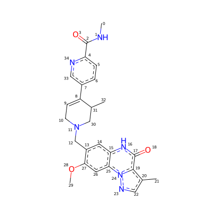 CNC(=O)c1ccc(C2=CCN(Cc3cc4[nH]c(=O)c5c(C)cnn5c4cc3OC)CC2C)cn1